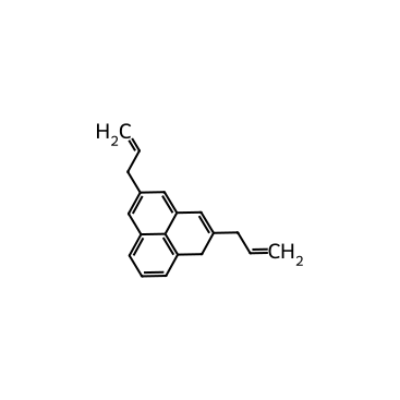 C=CCC1=Cc2cc(CC=C)cc3cccc(c23)C1